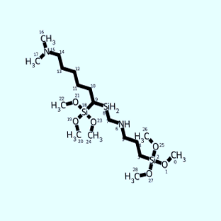 CO[Si](CCCNC[SiH2]C(CCCCCN(C)C)[Si](OC)(OC)OC)(OC)OC